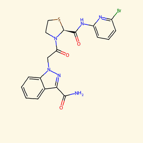 NC(=O)c1nn(CC(=O)N2CCS[C@H]2C(=O)Nc2cccc(Br)n2)c2ccccc12